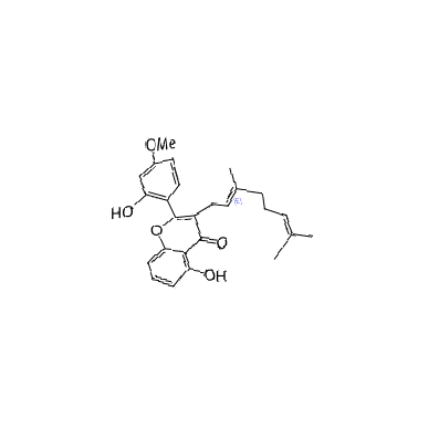 COc1ccc(-c2oc3cccc(O)c3c(=O)c2C/C=C(\C)CCC=C(C)C)c(O)c1